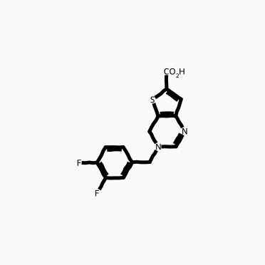 O=C(O)c1cc2c(s1)CN(Cc1ccc(F)c(F)c1)C=N2